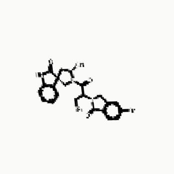 CC(C)CC(C(=O)N1C[C@]2(C[C@H]1C#N)C(=O)Nc1ccccc12)N1Cc2cc(Br)ccc2C1=O